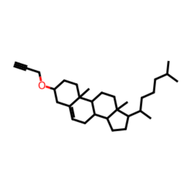 C#CCOC1CCC2(C)C(=CCC3C2CCC2(C)C(C(C)CCCC(C)C)CCC32)C1